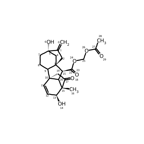 C=C1C[C@]23C[C@@]1(O)CCC2[C@@]12C=C[C@H](O)[C@@](C)(C(=O)C1)C2[C@@H]3C(=O)OCOC(C)=O